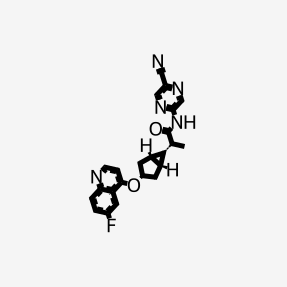 CC(C(=O)Nc1cnc(C#N)cn1)[C@@H]1[C@@H]2C[C@@H](Oc3ccnc4ccc(F)cc34)C[C@@H]21